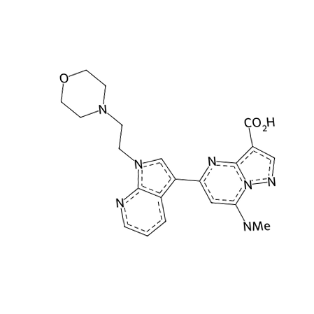 CNc1cc(-c2cn(CCN3CCOCC3)c3ncccc23)nc2c(C(=O)O)cnn12